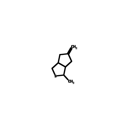 C=C1CC2CSC(C)C2C1